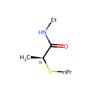 CCCS[C@@H](C)C(=O)NCC